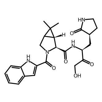 CC1(C)C2CN(C(=O)c3cc4ccccc4[nH]3)[C@H](C(=O)N[C@@H](C[C@@H]3CCNC3=O)C(=O)CO)[C@H]21